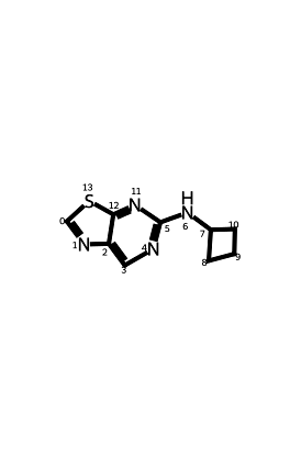 c1nc2cnc(NC3CCC3)nc2s1